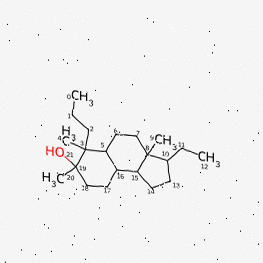 CCCC1(C)C2CCC3(C)C(CC)CCC3C2CCC1(C)O